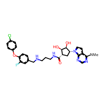 CNc1ncnc2c1ccn2[C@@H]1C[C@H](C(=O)NCCCNCc2ccc(Oc3ccc(Cl)cc3)c(F)c2)[C@@H](O)[C@H]1O